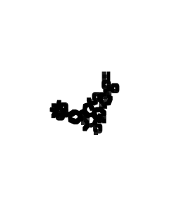 CCn1c(-c2cc(N3CCN(C(=O)O)CC3)cnc2[C@H](C)OC)c(CC(C)(C)CO)c2cc(B3OC(C)(C)C(C)(C)O3)ccc21